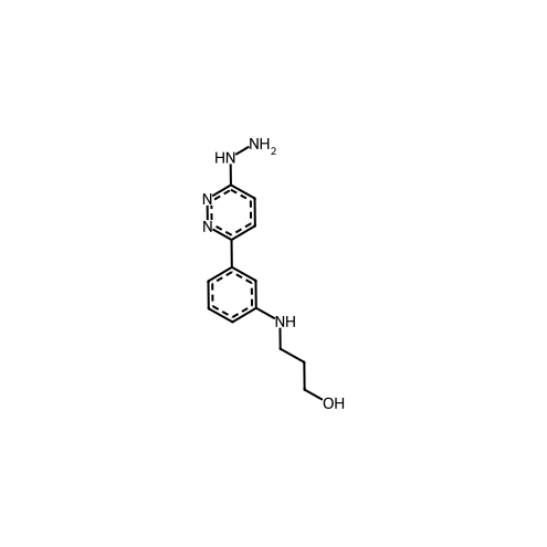 NNc1ccc(-c2cccc(NCCCO)c2)nn1